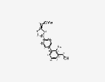 CON=C1CCN(c2ncc(-c3cccc(CO)c3F)cn2)C1